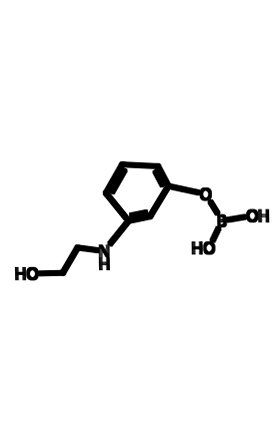 OCCNc1cccc(OB(O)O)c1